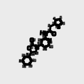 O=C(Cc1cccs1)Nc1cc(N2CC(c3ccccc3)OC2=O)ccn1